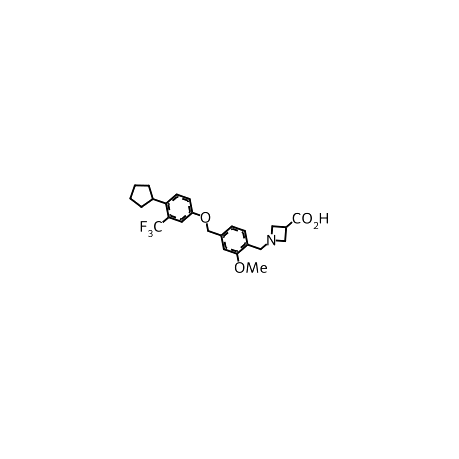 COc1cc(COc2ccc(C3CCCC3)c(C(F)(F)F)c2)ccc1CN1CC(C(=O)O)C1